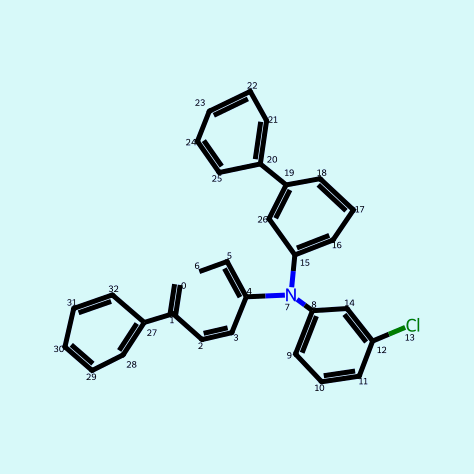 C=C(/C=C\C(=C/C)N(c1cccc(Cl)c1)c1cccc(-c2ccccc2)c1)c1ccccc1